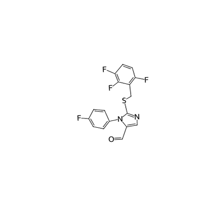 O=Cc1cnc(SCc2c(F)ccc(F)c2F)n1-c1ccc(F)cc1